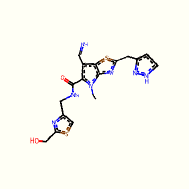 Cn1c(C(=O)NCc2csc(CO)n2)c(C=N)c2sc(Cc3cc[nH]n3)nc21